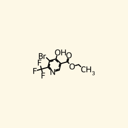 CCOC(=O)c1cnc(C(F)(F)F)c(Br)c1O